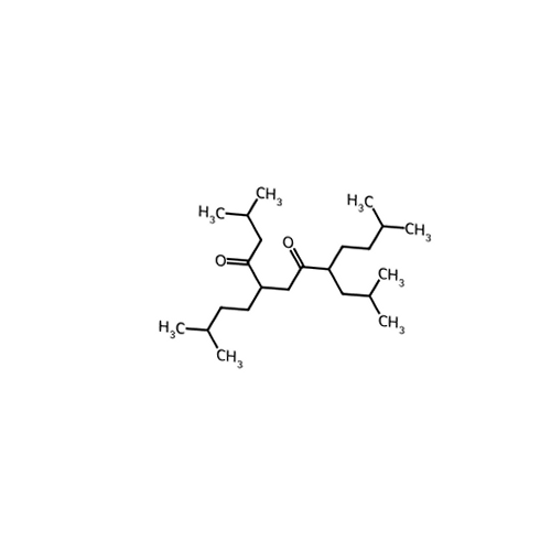 CC(C)CCC(CC(=O)C(CCC(C)C)CC(C)C)C(=O)CC(C)C